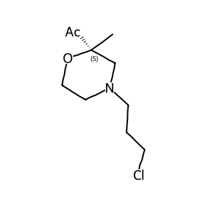 CC(=O)[C@]1(C)CN(CCCCl)CCO1